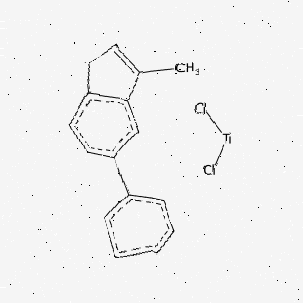 CC1=C[CH]c2ccc(-c3ccccc3)cc21.[Cl][Ti][Cl]